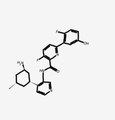 C[C@@H]1C[C@@H](N)C[C@H](c2ccncc2NC(=O)c2nc(-c3cc(O)ccc3F)ccc2F)C1